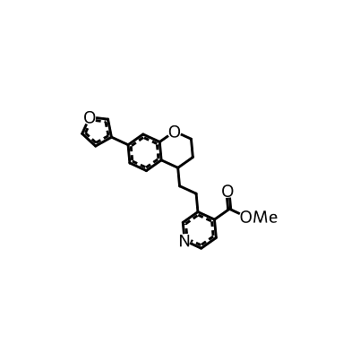 COC(=O)c1ccncc1CCC1CCOc2cc(-c3ccoc3)ccc21